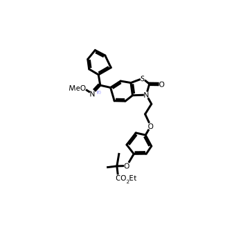 CCOC(=O)C(C)(C)Oc1ccc(OCCn2c(=O)sc3cc(/C(=N/OC)c4ccccc4)ccc32)cc1